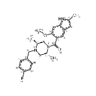 COc1cc2[nH]c(C)cc2cc1C(=O)N1C[C@H](C)N(Cc2ccc(F)cc2)C[C@H]1C